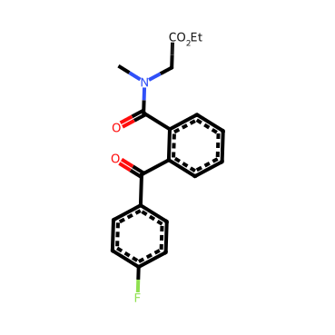 CCOC(=O)CN(C)C(=O)c1ccccc1C(=O)c1ccc(F)cc1